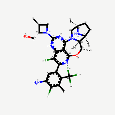 Cc1c(F)c(N)cc(-c2nc3c4c(nc(N5C[C@H](C)[C@H]5CO)nc4c2F)N2C[C@H]4CC[C@H](N4)[C@H]2[C@H](C)O3)c1C(F)(F)F